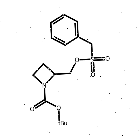 CC(C)(C)OC(=O)N1CCC1COS(=O)(=O)Cc1ccccc1